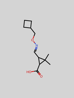 CC1(C)C(C=NOCC2CCC2)C1C(=O)O